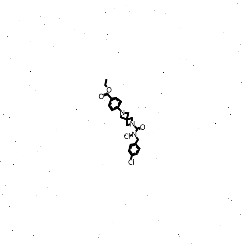 CCOC(=O)c1ccc(N2CC3(CN(C(=O)N(Cl)Cc4ccc(Cl)cc4)C3)C2)cc1